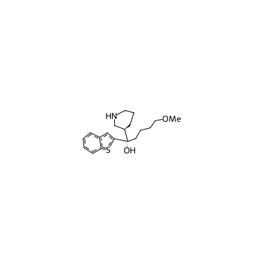 COCCCC[C@@](O)(c1cc2ccccc2s1)[C@@H]1CCCNC1